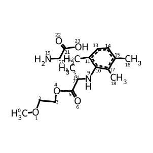 COCCOC(=O)[C@H](C)Nc1c(C)ccc(C)c1C.NCC(=O)O